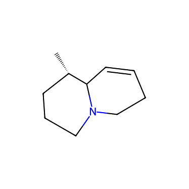 C[C@H]1CCCN2CCC=CC12